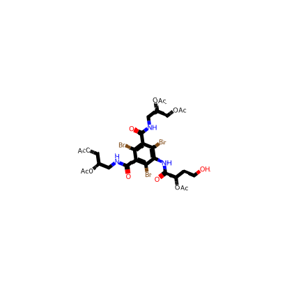 CC(=O)OCC(CNC(=O)c1c(Br)c(NC(=O)C(CCO)OC(C)=O)c(Br)c(C(=O)NCC(COC(C)=O)OC(C)=O)c1Br)OC(C)=O